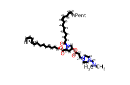 CCCCC/C=C\C/C=C\CCCCCCCCOC(=O)C1CC(OC(=O)CCN2CCN(CN(C)C)CC2)CN1C(=O)CCCCCCC/C=C\C/C=C\CCCCC